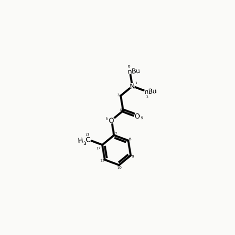 CCCCN(CCCC)CC(=O)Oc1ccccc1C